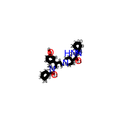 COc1cccc(C(CCN2CCC(C(=O)c3nc4ccccc4[nH]3)CC2)CN(C)C(=O)c2ccccc2)c1